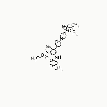 CCOC(=O)N1CN=Cc2c(-c3ccc(N4CCN(C(=O)OC(C)(C)C)CC4)nc3)cc(NC(=O)OC(C)=O)cc21